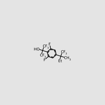 CCC(C)(c1cc(F)c(C(O)(C(F)(F)F)C(F)(F)F)c(F)c1)C(F)(F)F